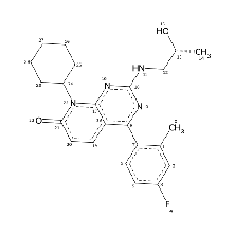 Cc1cc(F)ccc1-c1nc(NC[C@@H](C)O)nc2c1ccc(=O)n2C1CCCCC1